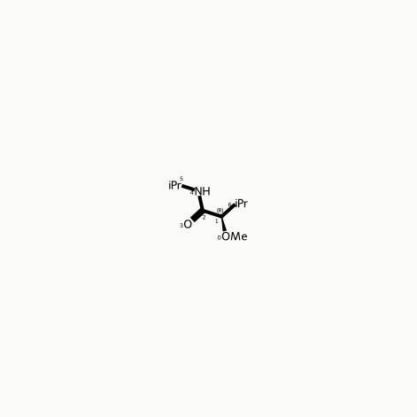 CO[C@@H](C(=O)NC(C)C)C(C)C